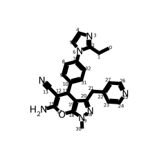 CCc1nccn1-c1ccc(C2C(C#N)=C(N)Oc3c2c(Cc2ccncc2)nn3C)cc1